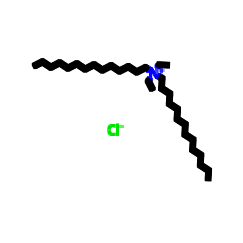 CCCCCCCCCCCCCC[N+](CC)(CC)CCCCCCCCCCCCCC.[Cl-]